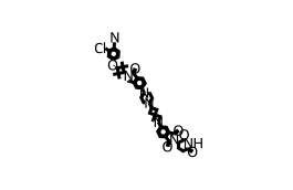 CC1(C)[C@H](Oc2ccc(C#N)c(Cl)c2)C(C)(C)[C@H]1N1Cc2cc(N3CCN(C4CC5(C4)CN(c4ccc6c(c4)C(=O)N(C4CCC(=O)NC4=O)C6=O)C5)CC3)ccc2C1=O